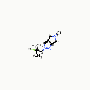 CCN1Cc2cn(CC(C)(C)F)nc2C1